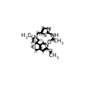 COc1cc2c(cn1)[C@@]1(C[C@H](C)N(Cc3cnc(NC(C)=O)s3)C1)OC2